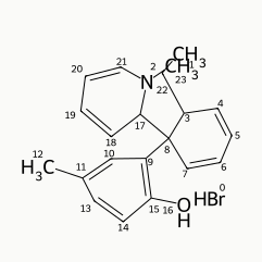 Br.CCC1C=CC=CC1(c1cc(C)ccc1O)C1C=CC=CN1C